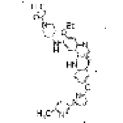 C=CC(=O)N1CCC(Nc2cc3c(Nc4ccc(Oc5ccn(-c6ccc(C)nc6)n5)cc4F)ncnc3cc2OCC)CC1